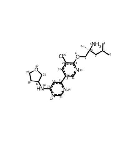 CC(C)C[C@](C)(N)COc1ncc(-c2cc(NC3CCOC3)ncn2)cc1Cl